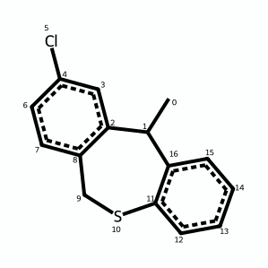 CC1c2cc(Cl)ccc2CSc2ccccc21